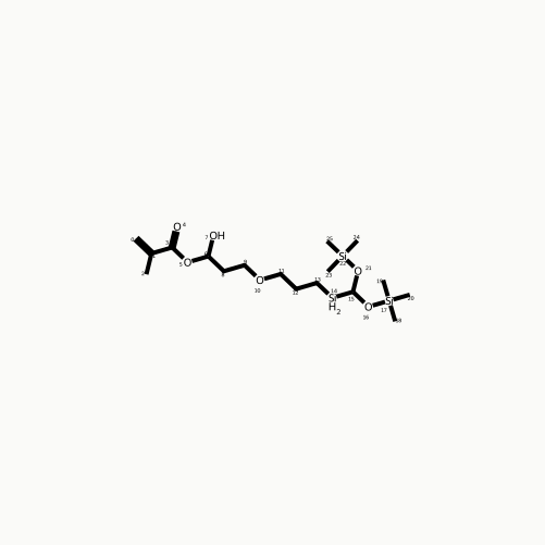 C=C(C)C(=O)OC(O)CCOCCC[SiH2]C(O[Si](C)(C)C)O[Si](C)(C)C